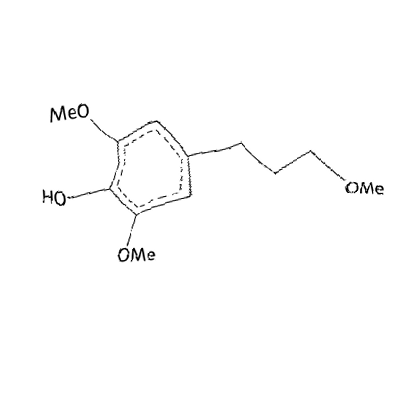 COCCCc1cc(OC)c(O)c(OC)c1